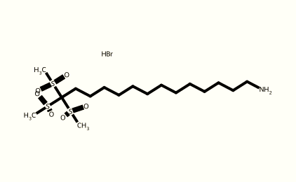 Br.CS(=O)(=O)C(CCCCCCCCCCCCCN)(S(C)(=O)=O)S(C)(=O)=O